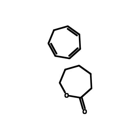 C1=CC=CCC=C1.O=C1CCCCCO1